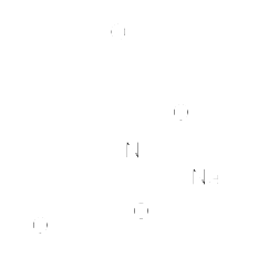 O=CC(C=O)[N+](=O)[O-].[Na+]